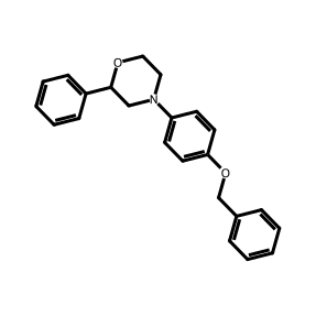 c1ccc(COc2ccc(N3CCOC(c4ccccc4)C3)cc2)cc1